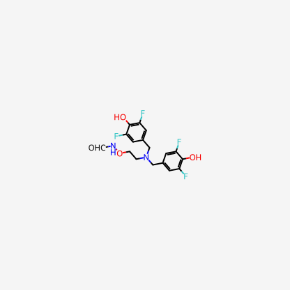 O=CNOCCN(Cc1cc(F)c(O)c(F)c1)Cc1cc(F)c(O)c(F)c1